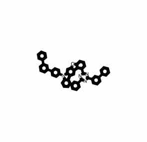 c1ccc(-c2cccc(-c3ccc(-n4c5ccccc5c5cc6c(cc54)oc4cccc(-c5nc(-c7ccccc7)nc(-c7cccc(-c8ccccc8)c7)n5)c46)cc3)c2)cc1